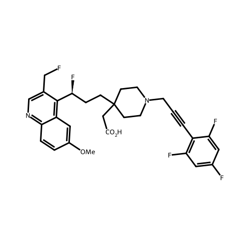 COc1ccc2ncc(CF)c([C@@H](F)CCC3(CC(=O)O)CCN(CC#Cc4c(F)cc(F)cc4F)CC3)c2c1